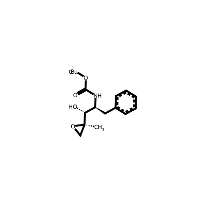 CC(C)(C)OC(=O)N[C@@H](Cc1ccccc1)[C@@H](O)[C@@]1(C)CO1